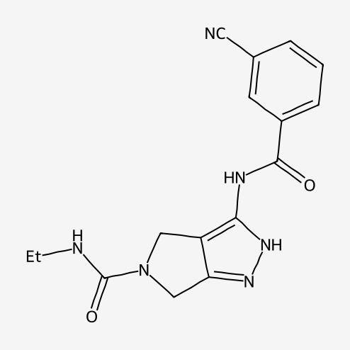 CCNC(=O)N1Cc2n[nH]c(NC(=O)c3cccc(C#N)c3)c2C1